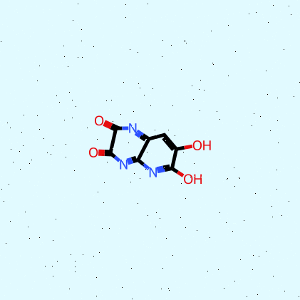 O=C1N=c2cc(O)c(O)nc2=NC1=O